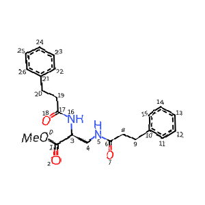 COC(=O)[C@H](CNC(=O)CCc1ccccc1)NC(=O)CCc1ccccc1